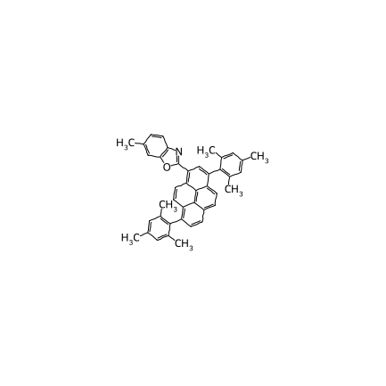 Cc1cc(C)c(-c2ccc3ccc4c(-c5c(C)cc(C)cc5C)cc(-c5nc6ccc(C)cc6o5)c5ccc2c3c54)c(C)c1